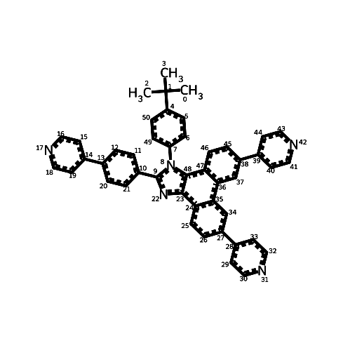 CC(C)(C)c1ccc(-n2c(-c3ccc(-c4ccncc4)cc3)nc3c4ccc(-c5ccncc5)cc4c4cc(-c5ccncc5)ccc4c32)cc1